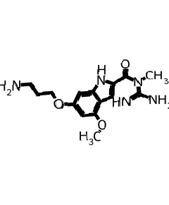 COc1cc(OCCCN)cc2[nH]c(C(=O)N(C)C(=N)N)cc12